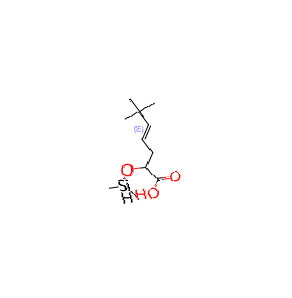 C[SiH](C)OC(C/C=C/C(C)(C)C)C(=O)O